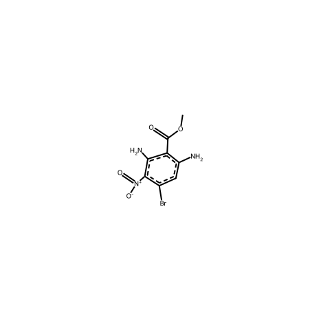 COC(=O)c1c(N)cc(Br)c([N+](=O)[O-])c1N